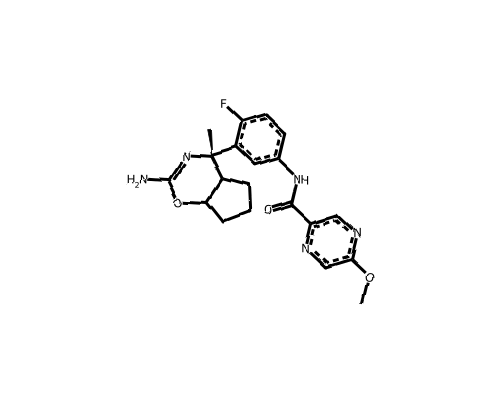 COc1cnc(C(=O)Nc2ccc(F)c([C@@]3(C)N=C(N)OC4CCCC43)c2)cn1